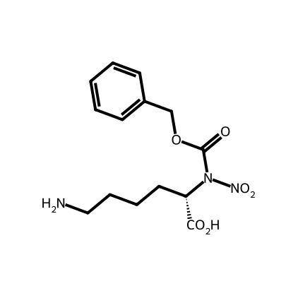 NCCCC[C@@H](C(=O)O)N(C(=O)OCc1ccccc1)[N+](=O)[O-]